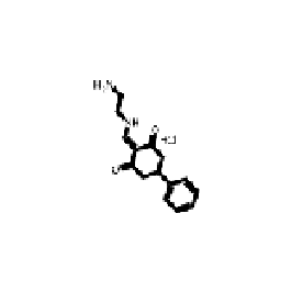 Cl.NCCNC=C1C(=O)CC(c2ccccc2)CC1=O